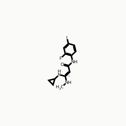 CN/C(=C/C(=O)Nc1ccc(I)cc1F)NC1CC1